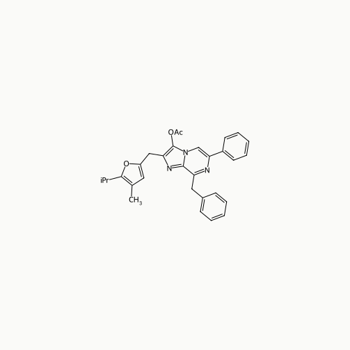 CC(=O)Oc1c(Cc2cc(C)c(C(C)C)o2)nc2c(Cc3ccccc3)nc(-c3ccccc3)cn12